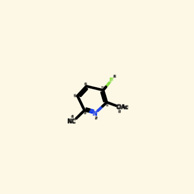 CC(=O)Oc1nc(C#N)ccc1F